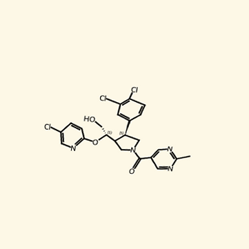 Cc1ncc(C(=O)N2CC([C@@H](CO)Oc3ccc(Cl)cn3)[C@@H](c3ccc(Cl)c(Cl)c3)C2)cn1